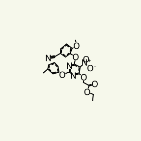 CCOC(=O)COc1nc(Oc2cccc(C)c2)nc(Oc2cc(C#N)ccc2OC)c1[N+](=O)[O-]